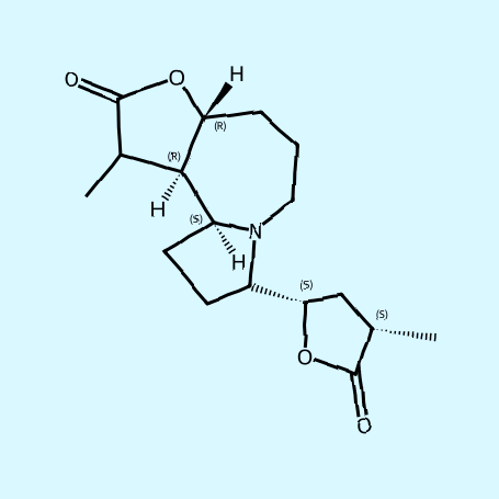 CC1C(=O)O[C@@H]2CCCN3C([C@@H]4C[C@H](C)C(=O)O4)CC[C@H]3[C@@H]12